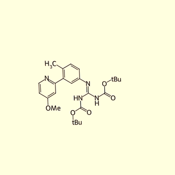 COc1ccnc(-c2cc(N=C(NC(=O)OC(C)(C)C)NC(=O)OC(C)(C)C)ccc2C)c1